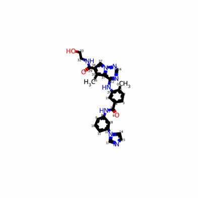 Cc1ccc(C(=O)Nc2cccc(-n3ccnc3)c2)cc1Nc1ncnn2cc(C(=O)NCCO)c(C)c12